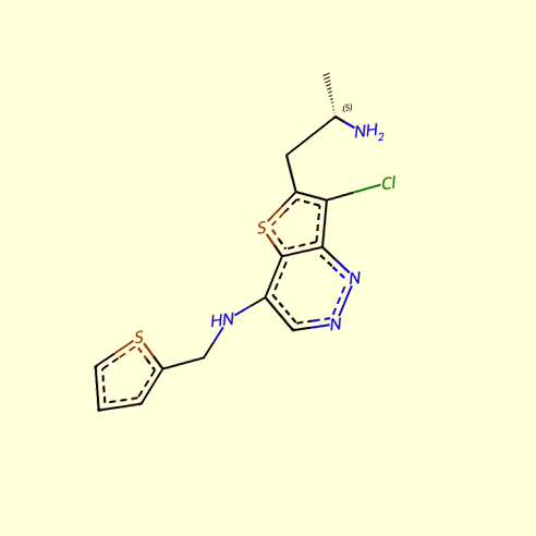 C[C@H](N)Cc1sc2c(NCc3cccs3)cnnc2c1Cl